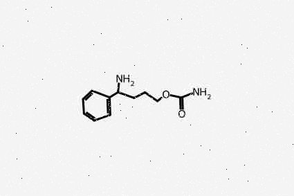 NC(=O)OCCCC(N)c1ccccc1